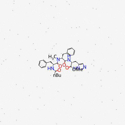 CCCCC(=O)N[C@@H](Cc1ccccc1)C(=O)N(C)[C@@H](Cc1ccccc1)C(=O)N[C@@H](Cc1cnc[nH]1)C(=O)OC